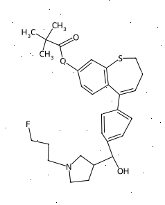 CC(C)(C)C(=O)Oc1ccc2c(c1)SCCC=C2c1ccc(C(O)C2CCN(CCCF)C2)cc1